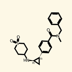 CN(Cc1ccccc1)C(=O)c1ccc([C@@H]2C[C@H]2NC2CCS(=O)(=O)CC2)cc1